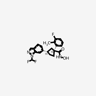 Cc1c(F)cccc1[C@]1(C(=O)NO)CC[C@H](c2ccc3cnn(C(F)F)c3c2)C1